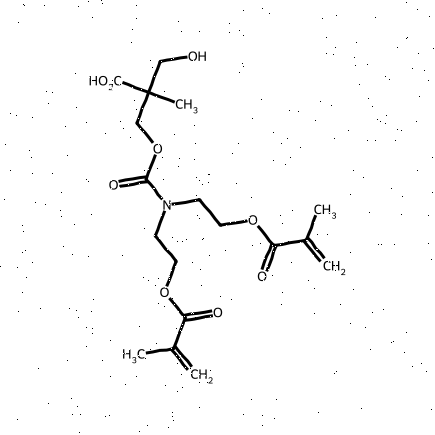 C=C(C)C(=O)OCCN(CCOC(=O)C(=C)C)C(=O)OCC(C)(CO)C(=O)O